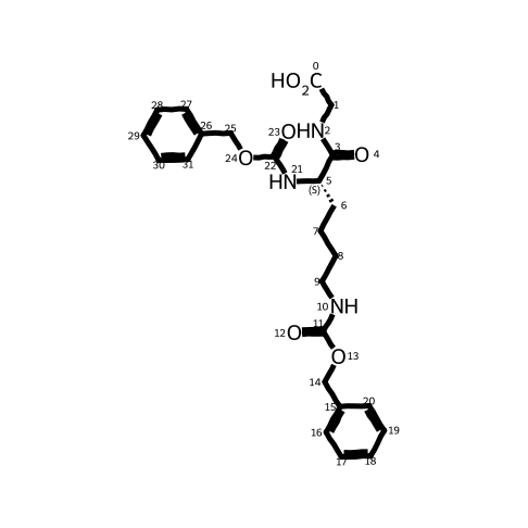 O=C(O)CNC(=O)[C@H](CCCCNC(=O)OCc1ccccc1)NC(=O)OCc1ccccc1